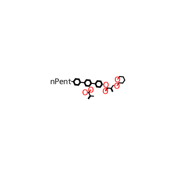 C=C(C)C(=O)Oc1cc(-c2ccc(CCCCC)cc2)ccc1-c1ccc(OC(=O)C(=C)COC2CCCCO2)cc1